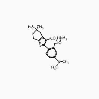 CN(C)c1ccc(-c2sc3c(c2C(=O)O)CC(C)(C)CC3)c(CON)c1